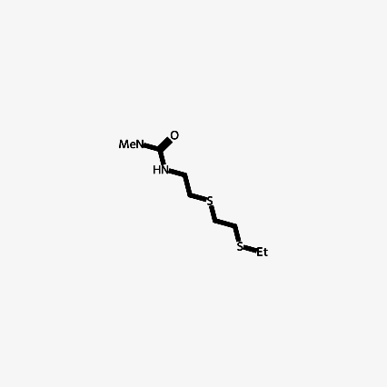 CCSCCSCCNC(=O)NC